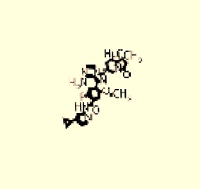 CCOc1cc(C(=O)Nc2cc(C3CC3)ccn2)c(F)cc1-c1nc([C@@H]2CC[C@@H]3N(C2)C(=O)CC3(C)C)n2ccnc(N)c12